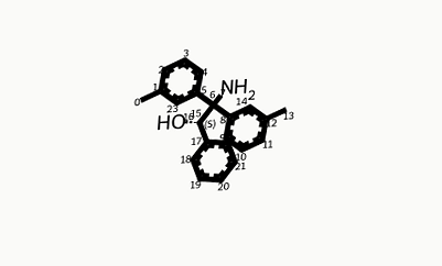 Cc1cccc(C(N)(c2cccc(C)c2)[C@@H](O)c2ccccc2)c1